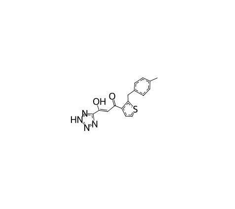 Cc1ccc(Cc2sccc2C(=O)C=C(O)c2nn[nH]n2)cc1